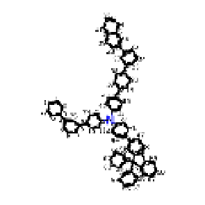 c1ccc(-c2cccc(-c3ccc(N(c4ccc(-c5ccc(-c6cccc(-c7ccc8ccccc8c7)c6)cc5)cc4)c4ccc(-c5ccc6c(c5)C(c5ccccc5)(c5ccccc5)c5ccccc5-6)cc4)cc3)c2)cc1